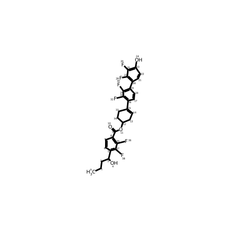 CCCC(O)c1ccc(C(=O)OC2CC=C(c3ccc(-c4ccc(O)c(F)c4F)c(F)c3F)CC2)c(F)c1F